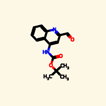 CC(C)(C)OC(=O)Nc1cc(C=O)nc2ccccc12